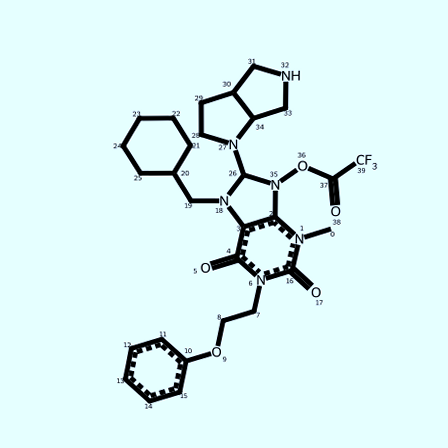 Cn1c2c(c(=O)n(CCOc3ccccc3)c1=O)N(CC1CCCCC1)C(N1CCC3CNCC31)N2OC(=O)C(F)(F)F